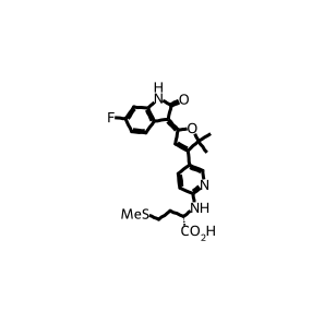 CSCC[C@H](Nc1ccc(C2=CC(=C3C(=O)Nc4cc(F)ccc43)OC2(C)C)cn1)C(=O)O